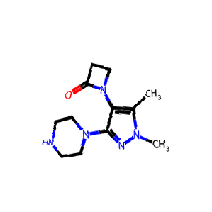 Cc1c(N2CCC2=O)c(N2CCNCC2)nn1C